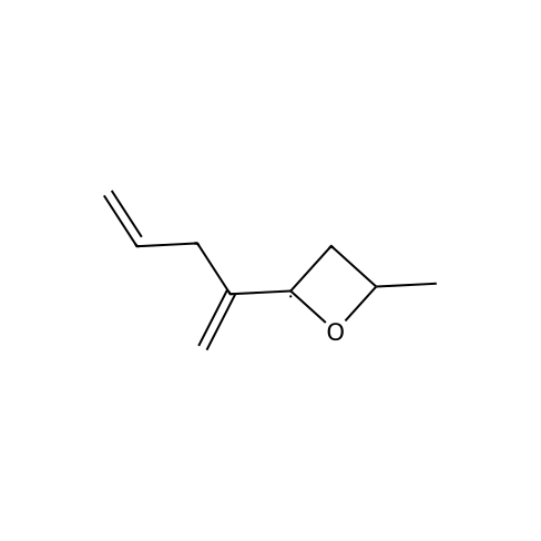 C=CCC(=C)[C]1CC(C)O1